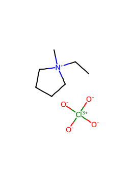 CC[N+]1(C)CCCC1.[O-][Cl+3]([O-])([O-])[O-]